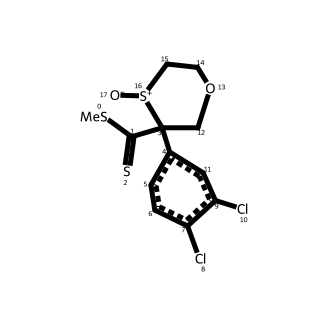 CSC(=S)C1(c2ccc(Cl)c(Cl)c2)COCC[S+]1[O-]